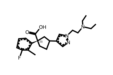 CCN(CC)CCn1cc(C2CC[C@@](C(=O)O)(c3cccc(F)c3C)C2)cn1